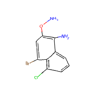 NOc1cc(Br)c2c(Cl)cccc2c1N